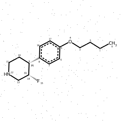 CCCCOc1ccc([C@H]2CCNC[C@H]2F)cc1